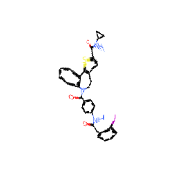 O=C(NC1CC1)c1cc2c(s1)-c1ccccc1N(C(=O)c1ccc(NC(=O)c3ccccc3I)cc1)CC2